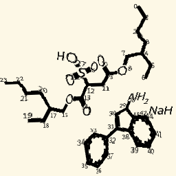 CCCCC(CC)COC(=O)CC(C(=O)OCC(CC)CCCC)S(=O)(=O)O.[AlH2][CH]1C=C(c2ccccc2)c2ccccc21.[NaH]